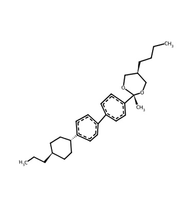 CCCC[C@H]1CO[C@](C)(c2ccc(-c3ccc([C@H]4CC[C@H](CCC)CC4)cc3)cc2)OC1